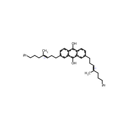 C/C(=C\CCc1ccc2c(O)c3ccc(CC/C=C(\C)CCCC(C)C)cc3c(O)c2c1)CCCC(C)C